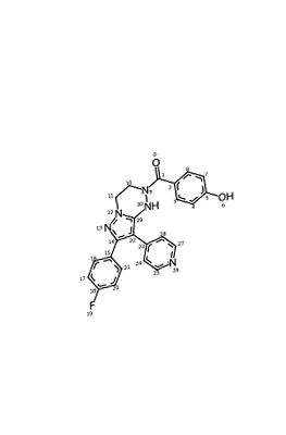 O=C(c1ccc(O)cc1)N1CCn2nc(-c3ccc(F)cc3)c(-c3ccncc3)c2N1